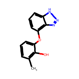 Cc1cccc(Oc2cccc3[nH]nnc23)c1O